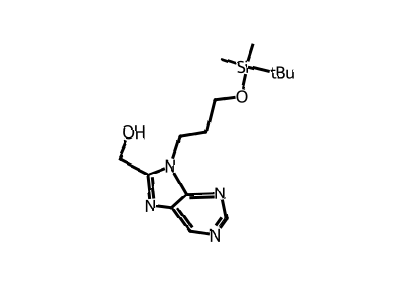 CC(C)(C)[Si](C)(C)OCCCn1c(CO)nc2cncnc21